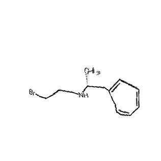 C[C@@H](NCCBr)c1ccccc1